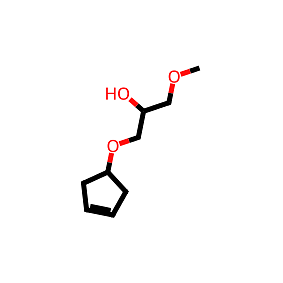 COCC(O)COC1CC=CC1